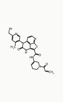 C=CC(=O)N1CCC=C(NC(=O)c2sc3nccc4c3c2NC(=O)N4c2cnc(CC(C)C)cc2C)C1